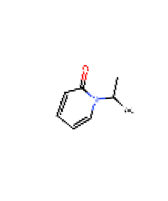 CC(=O)C(C)n1ccccc1=O